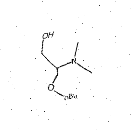 CCCCOC(CO)N(C)C